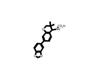 CC1(C)COc2cc(-c3ccc4c(c3)OCO4)ccc2C1NC(=O)O